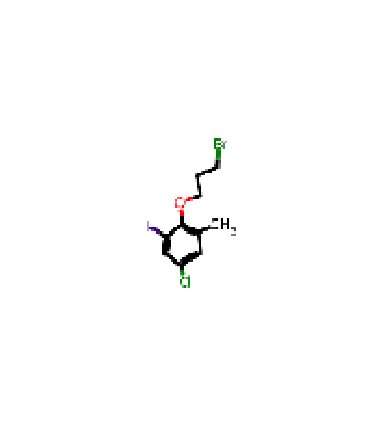 Cc1cc(Cl)cc(I)c1OCCCBr